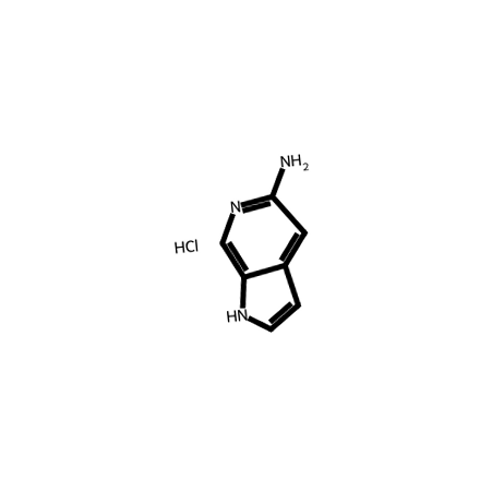 Cl.Nc1cc2cc[nH]c2cn1